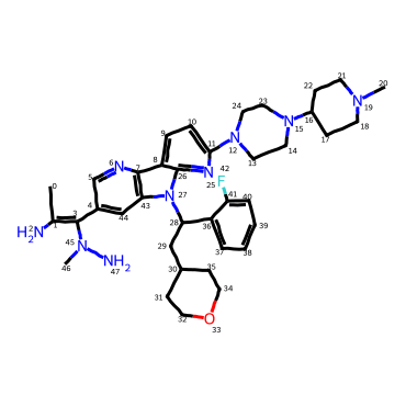 C/C(N)=C(\c1cnc2c3ccc(N4CCN(C5CCN(C)CC5)CC4)nc3n(C(CC3CCOCC3)c3ccccc3F)c2c1)N(C)N